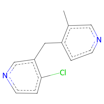 Cc1cnccc1Cc1cnccc1Cl